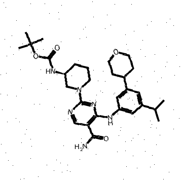 CC(C)c1cc(Nc2nc(N3CCC[C@H](NC(=O)OC(C)(C)C)C3)ncc2C(N)=O)cc(C2CCOCC2)c1